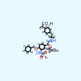 CC(C(=O)O)c1ccc(CC(C)(C)NCC(O[Si](C)(C)C(C)(C)C)c2ccc(OCc3ccccc3)c(NS(C)(=O)=O)c2)cc1